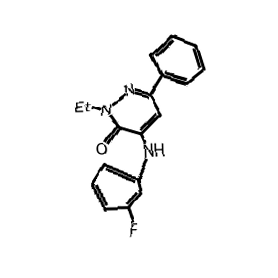 CCn1nc(-c2ccccc2)cc(Nc2cccc(F)c2)c1=O